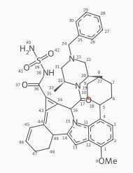 COc1ccc(C2CCCCC2)c2c1cc1n2C(C(=O)N2[C@H](C)CN(Cc3ccccc3)C[C@@H]2C)C2=C(C(=O)NS(N)(=O)=O)C2=C2C=CCCC21